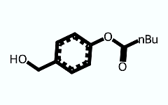 CCCCC(=O)Oc1ccc(CO)cc1